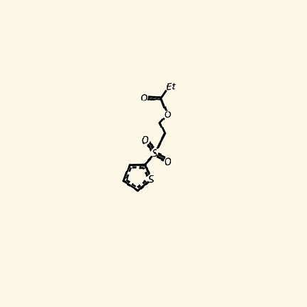 CCC(=O)OCCS(=O)(=O)c1cccs1